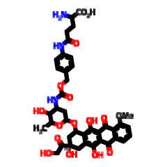 COc1cccc2c1C(=O)c1c(O)c3c(c(O)c1C2=O)C[C@@](O)(C(=O)CO)CC3OC1CC(NC(=O)OCc2ccc(NC(=O)CCC(N)C(=O)O)cc2)C(O)C(C)O1